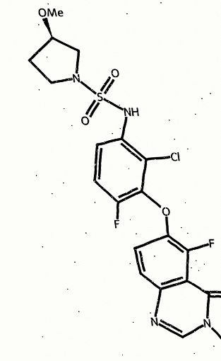 CO[C@@H]1CCN(S(=O)(=O)Nc2ccc(F)c(Oc3ccc4ncn(C)c(=O)c4c3F)c2Cl)C1